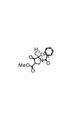 COC(=O)C1CN(C(=O)c2ccccc2)C(C)(C)C1=O